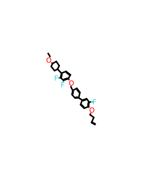 C=CCCOc1ccc(-c2ccc(COc3ccc(C4CCC(OCC)CC4)c(F)c3F)cc2)cc1F